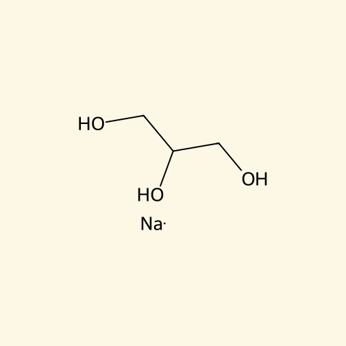 OCC(O)CO.[Na]